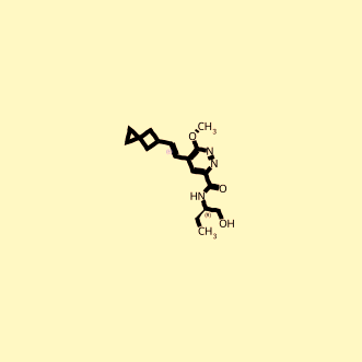 CC[C@H](CO)NC(=O)c1cc(/C=C/C2CC3(CC3)C2)c(OC)nn1